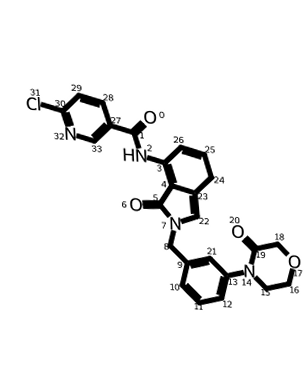 O=C(NC1=C2C(=O)N(Cc3cccc(N4CCOCC4=O)c3)C=C2CC=C1)c1ccc(Cl)nc1